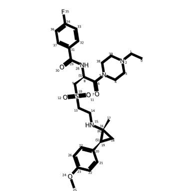 CCN1CCN(C(=O)[C@@H](CS(=O)(=O)CCN[C@]2(C)C[C@H]2c2ccc(OC)cc2)NC(=O)c2ccc(F)cc2)CC1